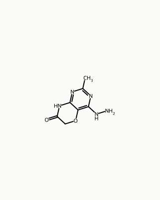 Cc1nc(NN)c2c(n1)NC(=O)CO2